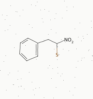 O=[N+]([O-])C([S])Cc1ccccc1